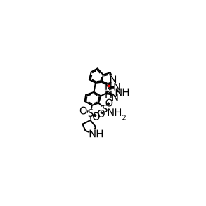 NS(=O)(=O)c1c(S(=O)(=O)[C@H]2CCNC2)ccc(-c2cccc3cn[nH]c23)c1-c1nn[nH]n1